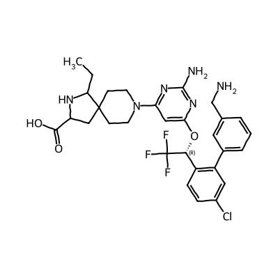 CCC1NC(C(=O)O)CC12CCN(c1cc(O[C@H](c3ccc(Cl)cc3-c3cccc(CN)c3)C(F)(F)F)nc(N)n1)CC2